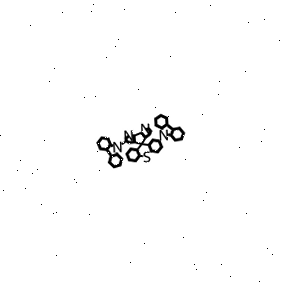 c1ccc2c(c1)Sc1ccc(-n3c4ccccc4c4ccccc43)cc1C21c2cccnc2-c2ncc(-n3c4ccccc4c4ccccc43)cc21